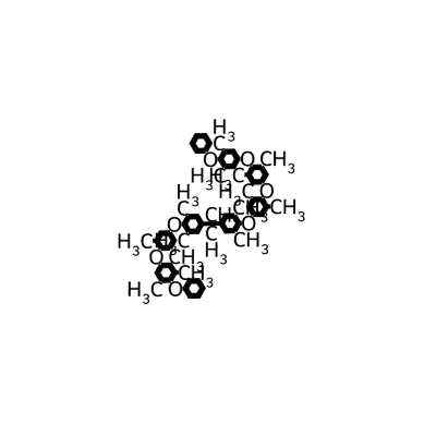 Cc1cc(Oc2c(C)cc(Oc3c(C)cc(Oc4c(C)cc(C(C)(C)c5cc(C)c(Oc6cc(C)c(Oc7cc(C)c(Oc8ccccc8)c(C)c7)c(C)c6)c(C)c5)cc4C)cc3C)cc2C)cc(C)c1Oc1ccccc1